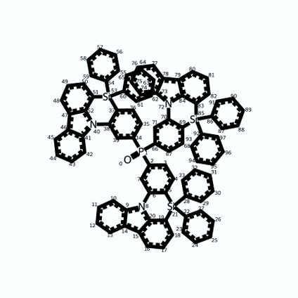 O=P(c1ccc2c(c1)-n1c3ccccc3c3cccc(c31)[Si]2(c1ccccc1)c1ccccc1)(c1ccc2c(c1)-n1c3ccccc3c3cccc(c31)[Si]2(c1ccccc1)c1ccccc1)c1ccc2c(c1)-n1c3ccccc3c3cccc(c31)[Si]2(c1ccccc1)c1ccccc1